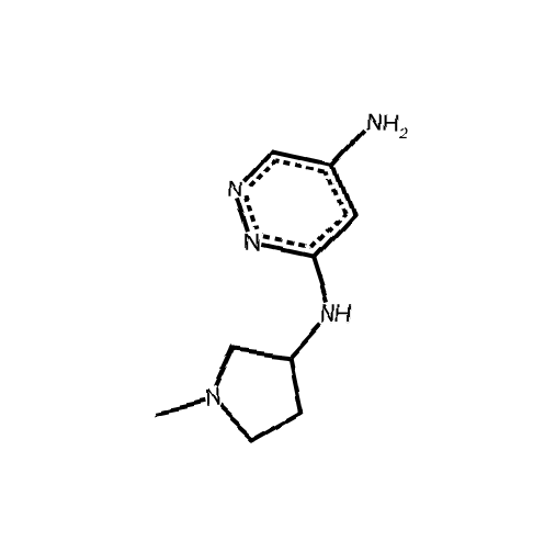 CN1CCC(Nc2cc(N)cnn2)C1